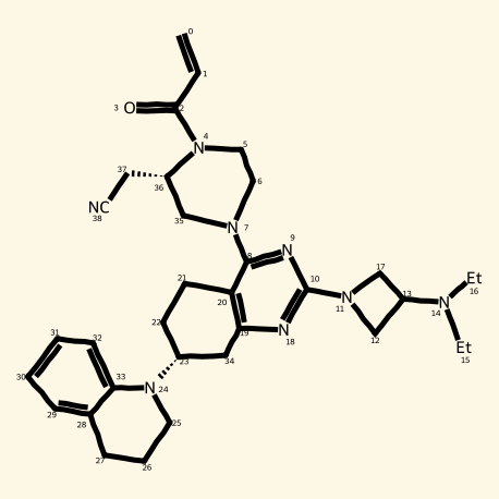 C=CC(=O)N1CCN(c2nc(N3CC(N(CC)CC)C3)nc3c2CC[C@@H](N2CCCc4ccccc42)C3)C[C@@H]1CC#N